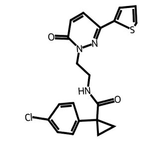 O=C(NCCn1nc(-c2cccs2)ccc1=O)C1(c2ccc(Cl)cc2)CC1